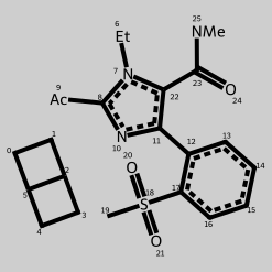 C1CC2CCC12.CCn1c(C(C)=O)nc(-c2ccccc2S(C)(=O)=O)c1C(=O)NC